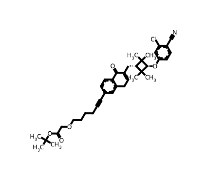 CC(C)(C)OC(=O)COCCCCC#Cc1ccc2c(c1)CC=C(C[C@H]1C(C)(C)[C@H](Oc3ccc(C#N)c(Cl)c3)C1(C)C)C2=O